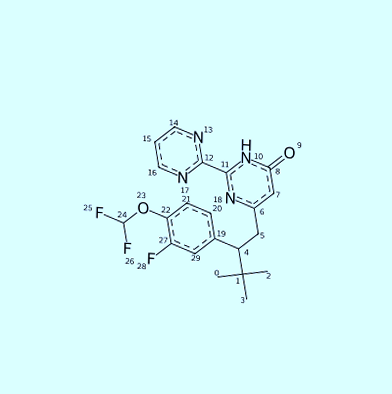 CC(C)(C)C(Cc1cc(=O)[nH]c(-c2ncccn2)n1)c1ccc(OC(F)F)c(F)c1